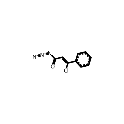 [N-]=[N+]=NC(=O)/C=C(\Cl)c1ccccc1